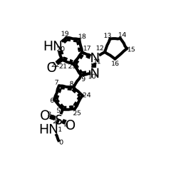 CNS(=O)(=O)c1ccc(-c2nn(C3CCCC3)c3cc[nH]c(=O)c23)cc1